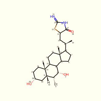 CC[C@H]1[C@@H](O)C2C3CCC([C@H](C)CC4SC(=N)NC4=O)[C@@]3(C)CCC2[C@@]2(C)CC[C@@H](O)C[C@@H]12